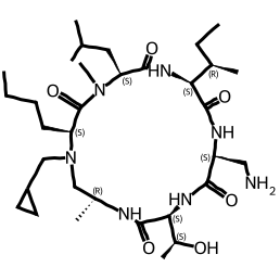 CCCC[C@H]1C(=O)N(C)[C@@H](CC(C)C)C(=O)N[C@@H]([C@H](C)CC)C(=O)N[C@@H](CN)C(=O)N[C@@H]([C@H](C)O)C(=O)N[C@H](C)CN1CC1CC1